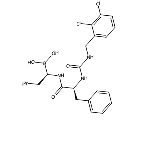 CC(C)C[C@H](NC(=O)[C@H](Cc1ccccc1)NC(=O)NCc1cccc(Cl)c1Cl)B(O)O